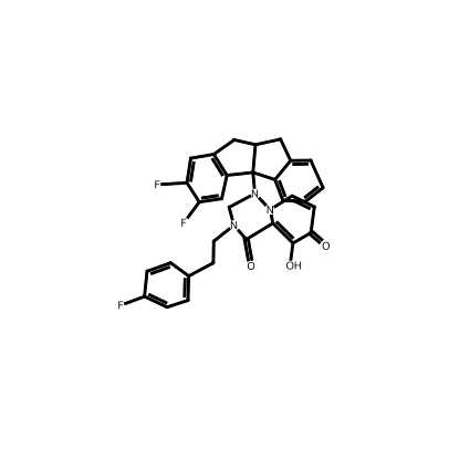 O=C1c2c(O)c(=O)ccn2N(C23c4ccccc4CC2Cc2cc(F)c(F)cc23)CN1CCc1ccc(F)cc1